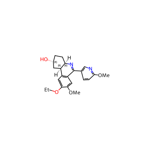 CCOc1cc2c(cc1OC)C(c1ccc(OC)nc1)=N[C@@H]1CC[C@@H](O)C[C@H]21